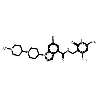 Cc1cc(C)c(CNC(=O)c2cc(Br)cc3c2cnn3C2CCN(C3CCN(C)CC3)CC2)c(=O)[nH]1